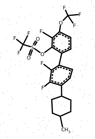 CC1CCC(c2ccc(-c3ccc(OC(F)(F)F)c(F)c3OS(=O)(=O)C(F)(F)F)c(F)c2F)CC1